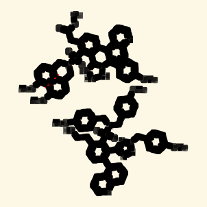 COc1ccc(CN(Cc2ccc(OC)cc2)S(=O)(=O)c2c(CCO)ccc(-c3cccc4ncccc34)c2-c2nnn(Cc3ccc(OC)cc3)n2)cc1.COc1ccc(CN2NNNC2c2c(-c3cccc4ncccc34)ccc(CC(=O)OC(C)(C)C)c2S(=O)(=O)N(Cc2ccc(OC)cc2)Cc2ccc(OC)cc2)cc1